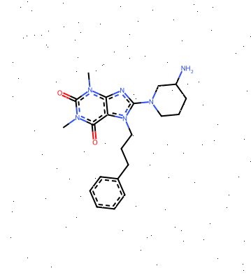 Cn1c(=O)c2c(nc(N3CCCC(N)C3)n2CCCc2ccccc2)n(C)c1=O